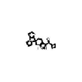 O=C(c1n[nH]c2c1C=CC(c1cccs1)(c1cccs1)C2)C1CCC1